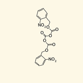 O=C(OCc1ccccc1[N+](=O)[O-])OC(=O)OC(=O)OCc1ccccc1[N+](=O)[O-]